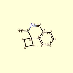 [2H]C1N=Cc2ccccc2C12CCC2